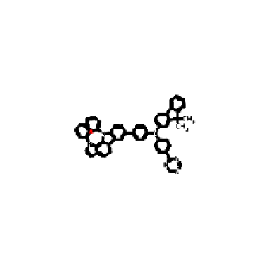 CC1(C)c2ccccc2-c2ccc(N(c3ccc(-c4ccc5c(c4)c4ccc6ccn(-c7ccccc7)c6c4n5-c4ccccc4)cc3)c3ccc(-c4ncncn4)cc3)cc21